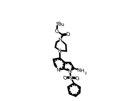 CC(C)(C)OC(=O)N1CCN(c2ccnc3c2cc(N)n3S(=O)(=O)c2ccccc2)CC1